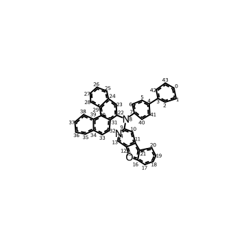 c1ccc(-c2ccc(N(c3cc4c(cn3)oc3ccccc34)c3cc4ccccc4c4c3ccc3ccccc34)cc2)cc1